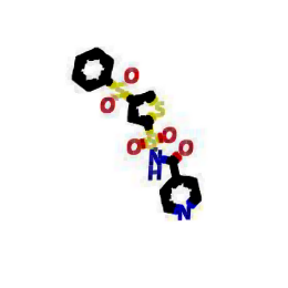 O=C(NS(=O)(=O)c1cc(S(=O)(=O)c2ccccc2)cs1)c1ccncc1